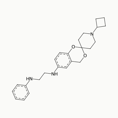 c1ccc(NCCNc2ccc3c(c2)COC2(CCN(C4CCC4)CC2)O3)cc1